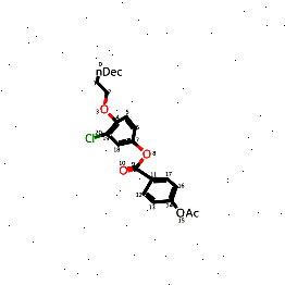 CCCCCCCCCCCCOc1ccc(OC(=O)c2ccc(OC(C)=O)cc2)cc1Cl